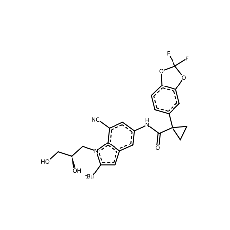 CC(C)(C)c1cc2cc(NC(=O)C3(c4ccc5c(c4)OC(F)(F)O5)CC3)cc(C#N)c2n1C[C@@H](O)CO